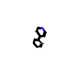 b1ccccc1-c1ccncc1